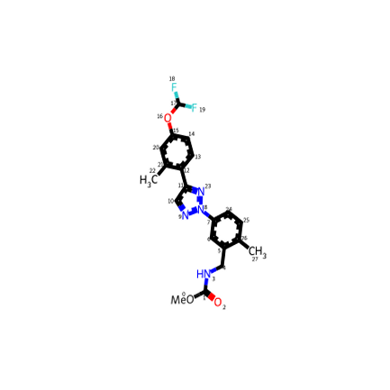 COC(=O)NCc1cc(-n2ncc(-c3ccc(OC(F)F)cc3C)n2)ccc1C